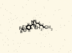 C=CCCCc1nnc(-c2ccc(OC(F)(F)F)cc2)n1C